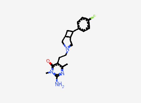 Cc1nc(N)n(C)c(=O)c1CCN1CC2CC(c3ccc(F)cc3)C2C1